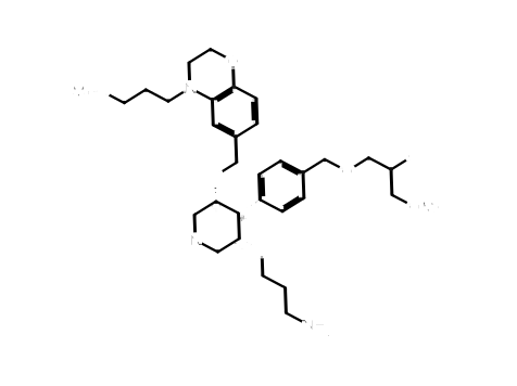 COCCCN1CCOc2ccc(CO[C@H]3CNC[C@@H](OCCCN)[C@H]3c3ccc(COCC(C)COC)cc3)cc21